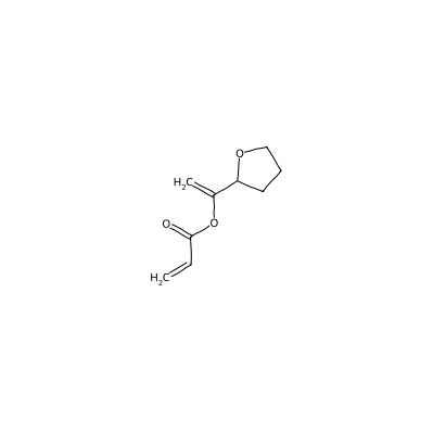 C=CC(=O)OC(=C)C1CCCO1